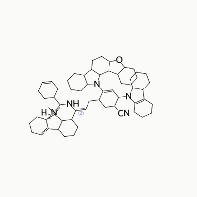 CC1(C)C2CCCC=C2C2CCCC(/C(=C/CC3CC(C#N)C(N4C5=C(CCCC5)C5CCCCC54)C=C3N3C4CCCCC4C4CCC5OC6CCCCC6C5C43)NC(N)C3CC=CCC3)C21